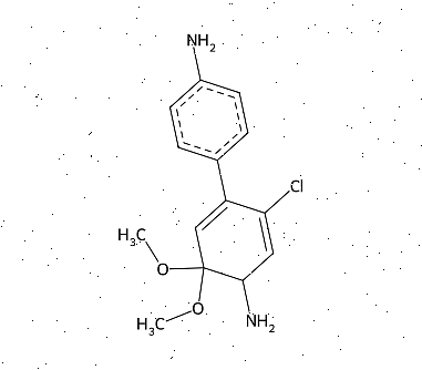 COC1(OC)C=C(c2ccc(N)cc2)C(Cl)=CC1N